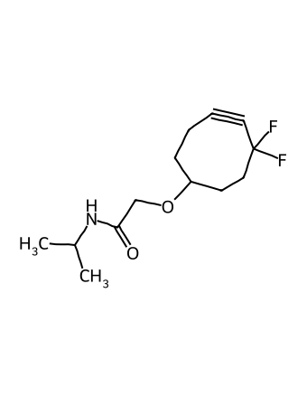 CC(C)NC(=O)COC1CCC#CC(F)(F)CC1